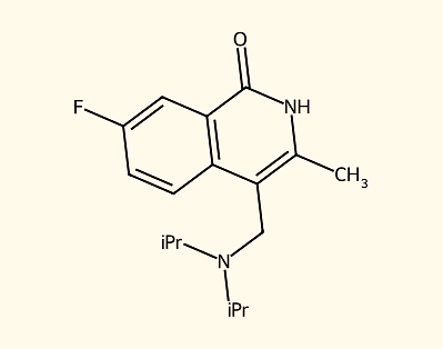 Cc1[nH]c(=O)c2cc(F)ccc2c1CN(C(C)C)C(C)C